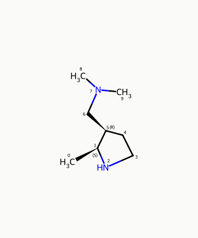 C[C@@H]1NCC[C@@H]1CN(C)C